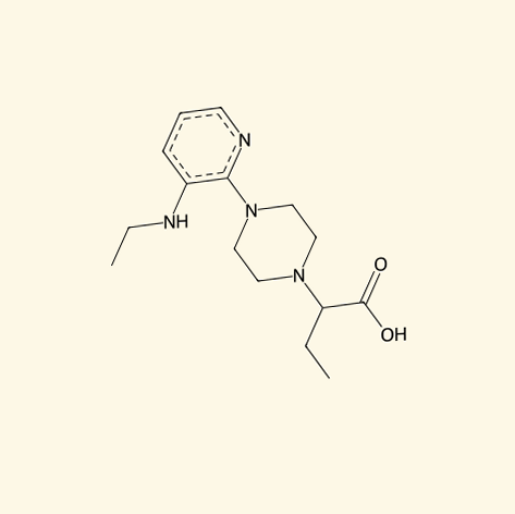 CCNc1cccnc1N1CCN(C(CC)C(=O)O)CC1